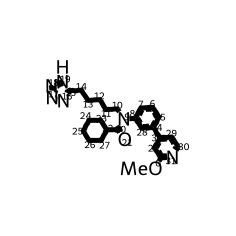 COc1cc(-c2cccc(N(CCCCCc3nnn[nH]3)C(=O)C3CCCCC3)c2)ccn1